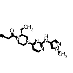 CC[C@H]1CN(c2ccnc(Nc3cnn(C)c3)n2)CCN1C(=O)CC#N